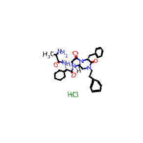 CC(N)C(=O)N[C@H](C(=O)N1CC(=O)N2[C@@H]1CN(CCc1ccccc1)C(=O)[C@@H]2Cc1ccccc1)C1CCCCC1.Cl